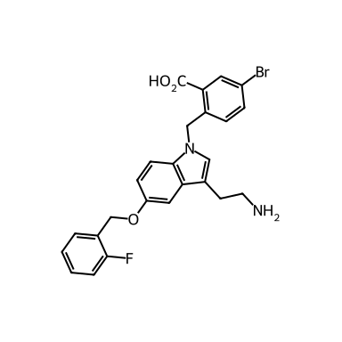 NCCc1cn(Cc2ccc(Br)cc2C(=O)O)c2ccc(OCc3ccccc3F)cc12